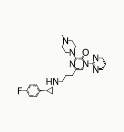 CN1CCN(c2nc(CCCN[C@@H]3C[C@H]3c3ccc(F)cc3)cn(-c3ncccn3)c2=O)CC1